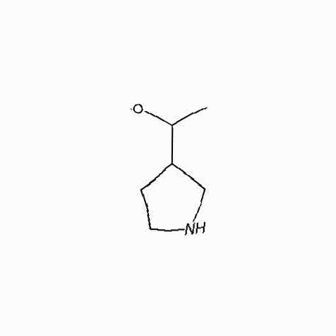 CC([O])C1CCNC1